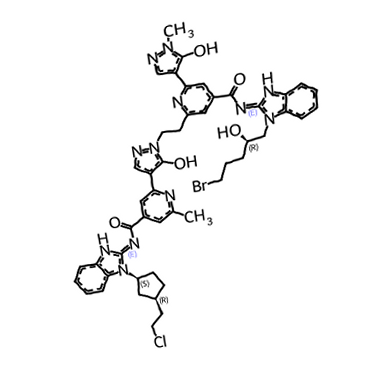 Cc1cc(C(=O)/N=c2\[nH]c3ccccc3n2[C@H]2CC[C@@H](CCCl)C2)cc(-c2cnn(CCc3cc(C(=O)/N=c4\[nH]c5ccccc5n4C[C@H](O)CCCBr)cc(-c4cnn(C)c4O)n3)c2O)n1